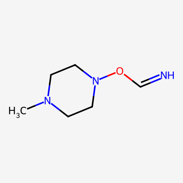 CN1CCN(OC=N)CC1